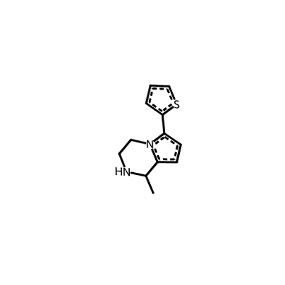 CC1NCCn2c(-c3cccs3)ccc21